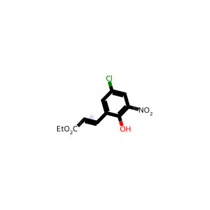 CCOC(=O)/C=C/c1cc(Cl)cc([N+](=O)[O-])c1O